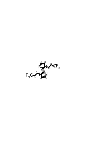 FC(F)(F)CCn1ccnc1-c1nccn1CCC(F)(F)F